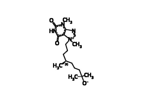 C[C@H](CCCC(C)(C)[O-])CCC[N+]1(C)C=Nc2c1c(=O)[nH]c(=O)n2C